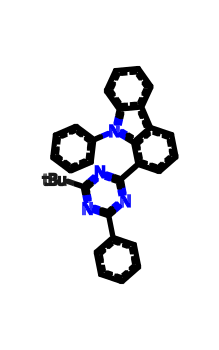 CC(C)(C)c1nc(-c2ccccc2)nc(-c2cccc3c4ccccc4n(-c4ccccc4)c23)n1